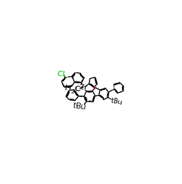 [CH2]=[Zr]([C]1=CC=CC1)([c]1c2c(cc(C(C)(C)C)c1-c1ccccc1)-c1cc(C(C)(C)C)c(-c3ccccc3)cc1C2)[c]1cccc2c(Cl)cccc12